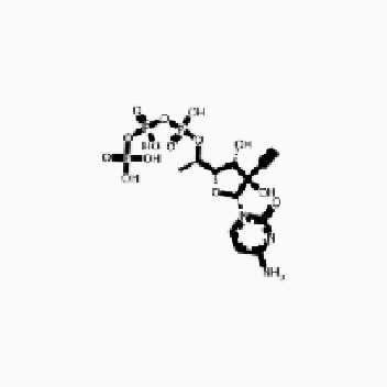 C#CC1(O)[C@@H](O)[C@@H]([C@@H](C)OP(=O)(O)OP(=O)(O)OP(=O)(O)O)O[C@H]1n1ccc(N)nc1=O